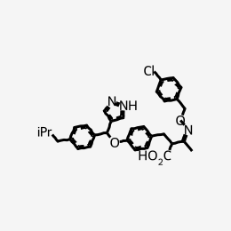 CC(=NOCc1ccc(Cl)cc1)C(Cc1ccc(OC(c2ccc(CC(C)C)cc2)c2cn[nH]c2)cc1)C(=O)O